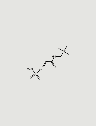 C=CC(=O)NC[N+](C)(C)C.COS(=O)(=O)[O-]